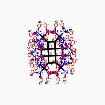 O=[N+]([O-])C([N+](=O)[O-])([N+](=O)[O-])C12C3(C([N+](=O)[O-])([N+](=O)[O-])[N+](=O)[O-])C4(C([N+](=O)[O-])([N+](=O)[O-])[N+](=O)[O-])C1(C([N+](=O)[O-])([N+](=O)[O-])[N+](=O)[O-])C1(C([N+](=O)[O-])([N+](=O)[O-])[N+](=O)[O-])C2(C([N+](=O)[O-])([N+](=O)[O-])[N+](=O)[O-])C3(C([N+](=O)[O-])([N+](=O)[O-])[N+](=O)[O-])C41C([N+](=O)[O-])([N+](=O)[O-])[N+](=O)[O-]